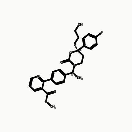 COC(=O)c1cccnc1-c1ccc([C@H](C)N2CC[C@](CCCO)(c3ccc(F)cc3)OC2=O)cc1